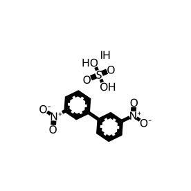 I.O=S(=O)(O)O.O=[N+]([O-])c1cccc(-c2cccc([N+](=O)[O-])c2)c1